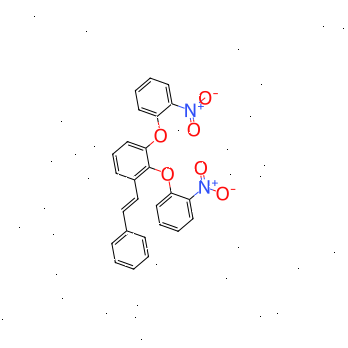 O=[N+]([O-])c1ccccc1Oc1cccc(C=Cc2ccccc2)c1Oc1ccccc1[N+](=O)[O-]